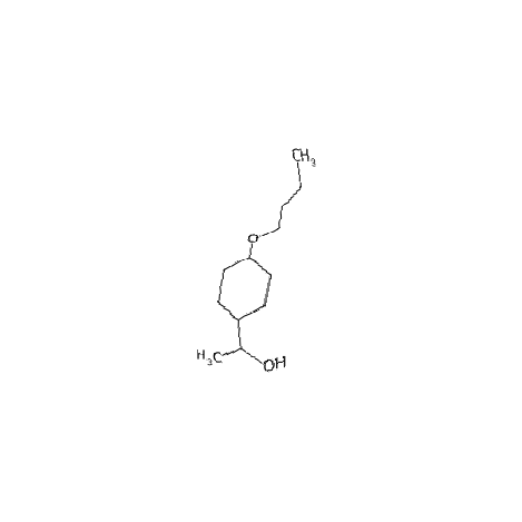 CCCCOC1CCC(C(C)O)CC1